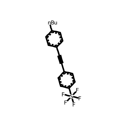 CCCCc1ccc(C#Cc2ccc(S(F)(F)(F)(F)F)cc2)cc1